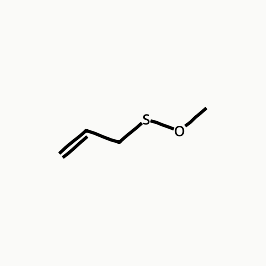 C=CCSOC